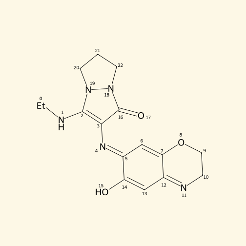 CCNc1c(N=C2C=C3OCCN=C3C=C2O)c(=O)n2n1CCC2